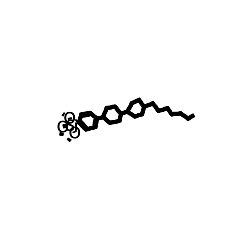 CCCCCCCC1CCC(C2CCC(c3ccc([Si](OC)(OC)OC)cc3)CC2)CC1